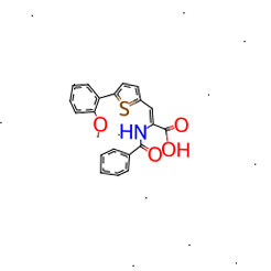 COc1ccccc1-c1ccc(C=C(NC(=O)c2ccccc2)C(=O)O)s1